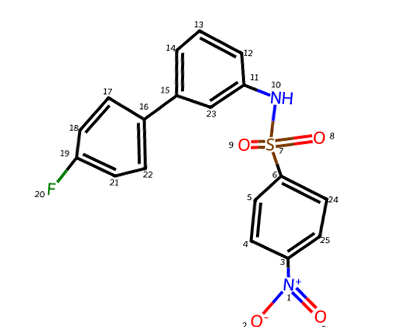 O=[N+]([O-])c1ccc(S(=O)(=O)Nc2cccc(-c3ccc(F)cc3)c2)cc1